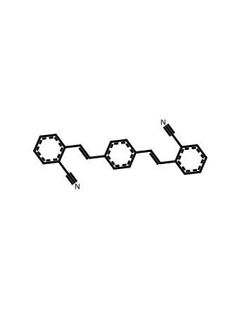 N#Cc1ccccc1C=Cc1ccc(C=Cc2ccccc2C#N)cc1